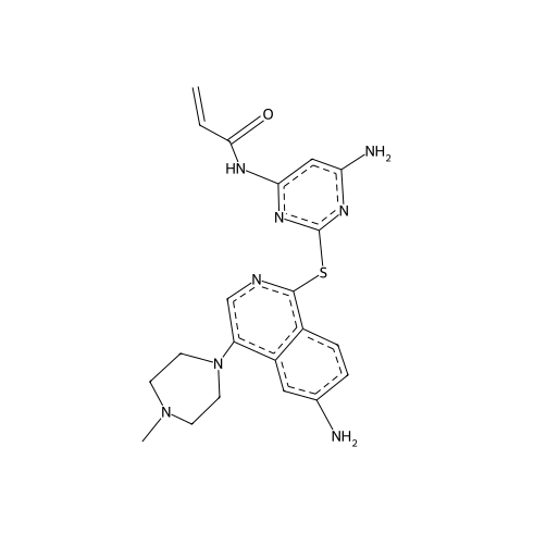 C=CC(=O)Nc1cc(N)nc(Sc2ncc(N3CCN(C)CC3)c3cc(N)ccc23)n1